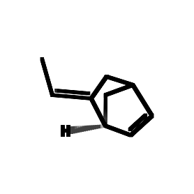 CC=C1CC2C=C[C@@H]1C2